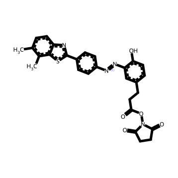 Cc1ccc2nc(-c3ccc(/N=N/c4cc(CCC(=O)ON5C(=O)CCC5=O)ccc4O)cc3)sc2c1C